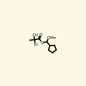 CCC(C)(I)C(=O)OC(OC)C1CCCC1